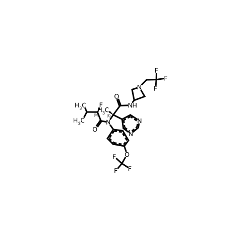 CC(C)[C@@H](F)C(=O)N(c1ccc(OC(F)(F)F)cc1)[C@](C)(C(=O)NC1CN(CC(F)(F)F)C1)c1cncnc1